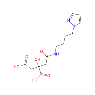 O=C(O)CC(O)(CC(=O)NCCCCn1cccn1)C(=O)O